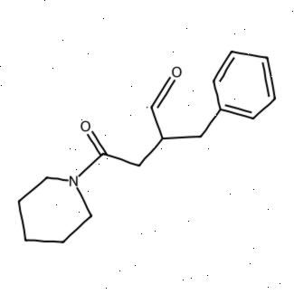 O=[C]C(CC(=O)N1CCCCC1)Cc1ccccc1